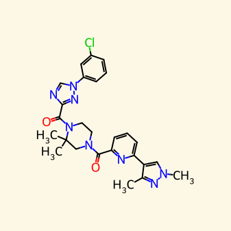 Cc1nn(C)cc1-c1cccc(C(=O)N2CCN(C(=O)c3ncn(-c4cccc(Cl)c4)n3)C(C)(C)C2)n1